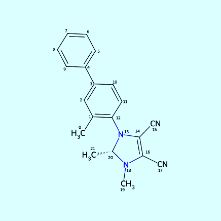 Cc1cc(-c2ccccc2)ccc1N1C(C#N)=C(C#N)N(C)[C@@H]1C